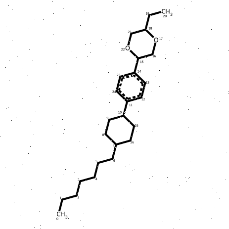 CCCCCCCC1CCC(c2ccc(C3COC(CC)CO3)cc2)CC1